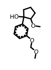 COCOc1cccc(C2(O)CCCC2OC)c1